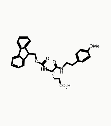 COc1ccc(CCNC(=O)[C@H](CCC(=O)O)NC(=O)OCC2c3ccccc3-c3ccccc32)cc1